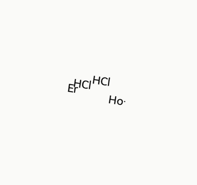 Cl.Cl.[Er].[Ho]